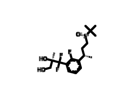 C[C@@H](CC[S@+]([O-])C(C)(C)C)c1cccc(C(F)(F)[C@](C)(O)CO)c1F